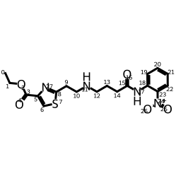 CCOC(=O)c1csc(CCNCCCC(=O)Nc2ccccc2[N+](=O)[O-])n1